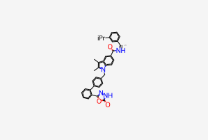 Cc1c(C)n(Cc2ccc(-c3ccccc3-c3n[nH]c(=O)o3)cc2)c2ccc(C(=O)N[C@@H](C)c3cccc(C(C)C)c3)cc12